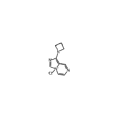 Cl[N+]12C=CN=CC1=C(N1CCC1)N=C2